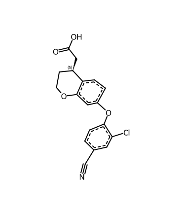 N#Cc1ccc(Oc2ccc3c(c2)OCC[C@H]3CC(=O)O)c(Cl)c1